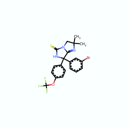 CC1(C)CN2C(=S)NC(c3ccc(OC(F)(F)F)cc3)(c3cccc(Br)c3)C2=N1